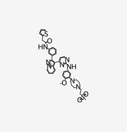 COc1ccc(Nc2nccc(-c3c(-c4cccc(NC(=O)Cc5cccs5)c4)nn4ccccc34)n2)cc1N1CCN(CCS(C)(=O)=O)CC1